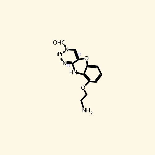 C/N=C1/Nc2c(OCCN)cccc2O/C1=C/N(C=O)C(C)C